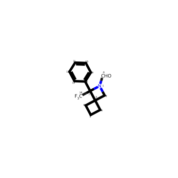 O=CN1CC2(CCC2)C1(c1ccccc1)C(F)(F)F